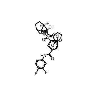 O=C(Nc1ccc(F)c(F)c1)c1ccc(Cl)c(S(=O)(=O)[C@H]2CC3CC[C@@H](C2)[C@@]3(O)C(O)CN2CCOC2=O)c1